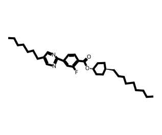 CCCCCCCCC[C@H]1CC[C@H](OC(=O)c2ccc(-c3ncc(CCCCCCC)cn3)cc2F)CC1